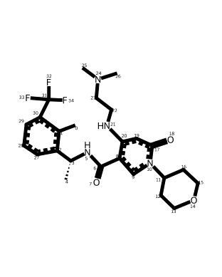 Cc1c([C@@H](C)NC(=O)c2cn(C3CCOCC3)c(=O)cc2NCCN(C)C)cccc1C(F)(F)F